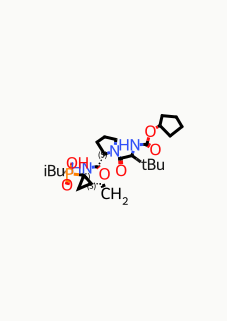 C=C[C@@H]1C[C@]1(NC(=O)[C@@H]1CCCN1C(=O)C(NC(=O)OC1CCCC1)C(C)(C)C)P(=O)(O)C(C)CC